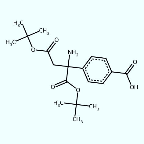 CC(C)(C)OC(=O)CC(N)(C(=O)OC(C)(C)C)c1ccc(C(=O)O)cc1